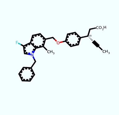 CC#C[C@@H](CC(=O)O)c1ccc(OCc2ccc3c(F)cn(Cc4ccccc4)c3c2C)cc1